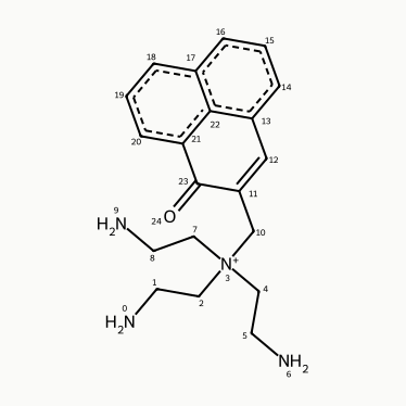 NCC[N+](CCN)(CCN)CC1=Cc2cccc3cccc(c23)C1=O